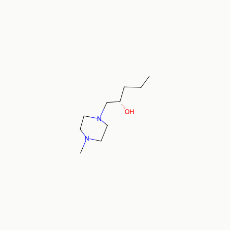 CCC[C@H](O)CN1CCN(C)CC1